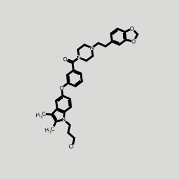 Cc1c(C)n(CCCCl)c2ccc(Oc3cccc(C(=O)N4CCN(CCc5ccc6c(c5)OCO6)CC4)c3)cc12